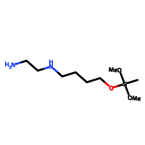 CO[Si](C)(OC)OCCCCNCCN